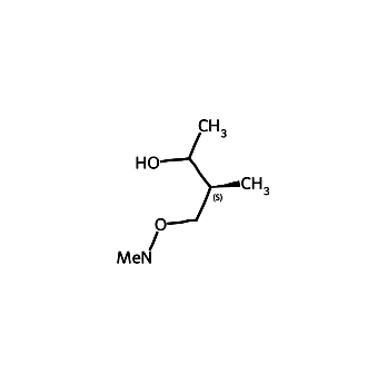 CNOC[C@H](C)C(C)O